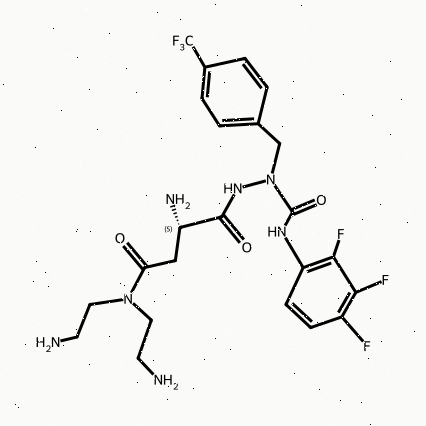 NCCN(CCN)C(=O)C[C@H](N)C(=O)NN(Cc1ccc(C(F)(F)F)cc1)C(=O)Nc1ccc(F)c(F)c1F